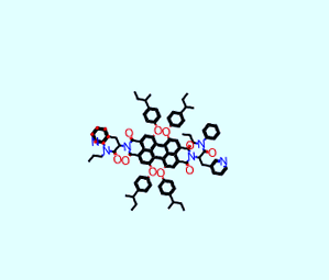 CCCN(C(=O)C(Cc1cccnc1)N1C(=O)c2cc(Oc3ccc(C(C)CC)cc3)c3c4c(Oc5ccc(C(C)CC)cc5)cc5c6c(cc(Oc7ccc(C(C)CC)cc7)c(c7c(Oc8ccc(C(C)CC)cc8)cc(c2c37)C1=O)c64)C(=O)N(C(Cc1cccnc1)C(=O)N(CCC)c1ccccc1)C5=O)c1ccccc1